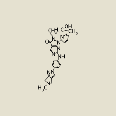 C=CCn1c(=O)c2cnc(Nc3ccc(-n4cc5c(n4)CN(C)C5)cc3)nc2n1-c1cccc(C(C)(C)O)n1